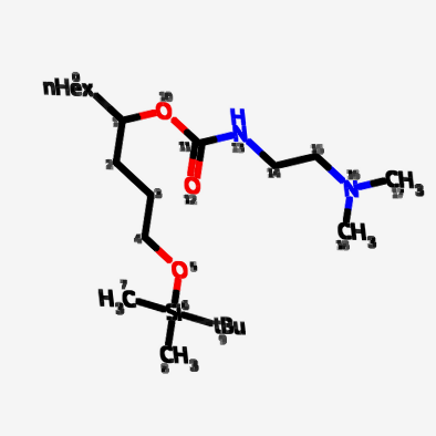 CCCCCCC(CCCO[Si](C)(C)C(C)(C)C)OC(=O)NCCN(C)C